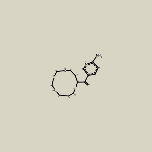 C=C(c1ccc(N)nc1)C1CCCCCCCCCCC1